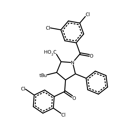 CC(C)(C)C1C(C(=O)c2cc(Cl)ccc2Cl)C(c2ccccc2)N(C(=O)c2cc(Cl)cc(Cl)c2)C1C(=O)O